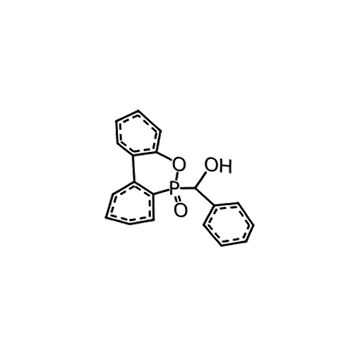 O=P1(C(O)c2ccccc2)Oc2ccccc2-c2ccccc21